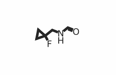 O=CNCC1(F)CC1